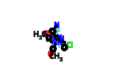 COc1ccc(CN(Cc2ccc(OC)cc2)c2nc(-c3cccc(C#N)c3F)cn3nc(Cc4c(F)cccc4Cl)nc23)cc1